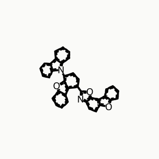 c1ccc2c(c1)oc1c(-n3c4ccccc4c4ccccc43)ccc(-c3nc4ccc5oc6ccccc6c5c4o3)c12